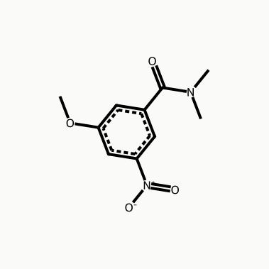 COc1cc(C(=O)N(C)C)cc([N+](=O)[O-])c1